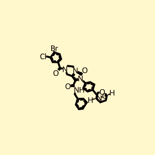 O=C(NCc1ccccc1)c1c2n(c(=O)n1-c1ccc(N3C[C@H]4CC[C@@H]3CO4)cc1)CCN(C(=O)c1ccc(Br)c(Cl)c1)C2